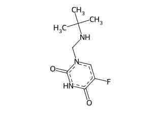 CC(C)(C)NCn1cc(F)c(=O)[nH]c1=O